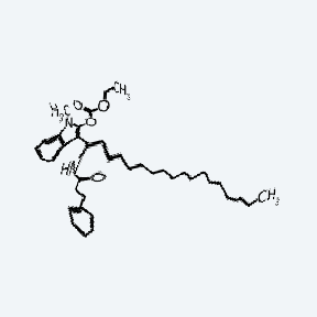 CCCCCCCCCCCCCCCCCC(NC(=O)CCc1ccccc1)c1c(OC(=O)OCC)n(C)c2ccccc12